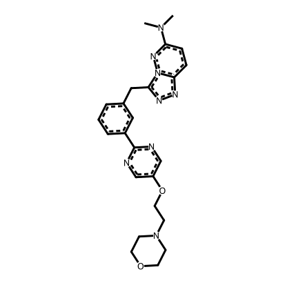 CN(C)c1ccc2nnc(Cc3cccc(-c4ncc(OCCN5CCOCC5)cn4)c3)n2n1